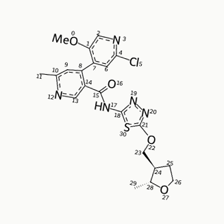 COc1cnc(Cl)cc1-c1cc(C)ncc1C(=O)Nc1nnc(OC[C@H]2CCO[C@@H]2C)s1